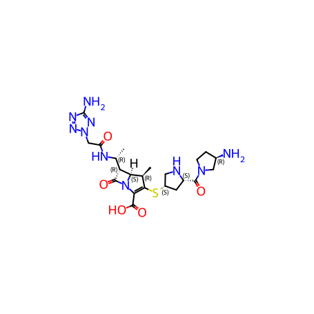 C[C@@H](NC(=O)Cn1nnc(N)n1)[C@H]1C(=O)N2C(C(=O)O)=C(S[C@@H]3CN[C@H](C(=O)N4CC[C@@H](N)C4)C3)[C@H](C)[C@H]12